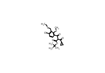 CCSCc1c(Cl)ccc(C(=O)C(C(=O)OC(C)(C)C)C(=O)C2CC2)c1SC